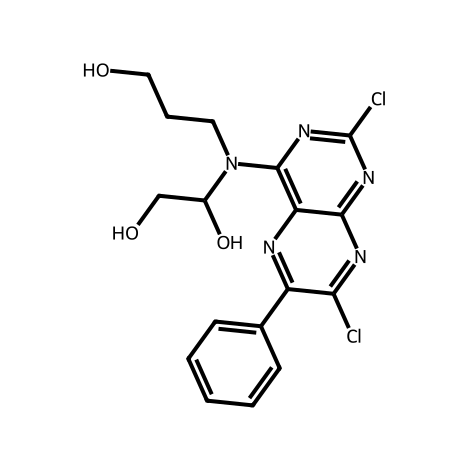 OCCCN(c1nc(Cl)nc2nc(Cl)c(-c3ccccc3)nc12)C(O)CO